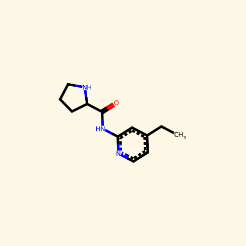 CCc1ccnc(NC(=O)C2CCCN2)c1